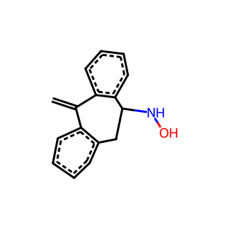 C=C1c2ccccc2CC(NO)c2ccccc21